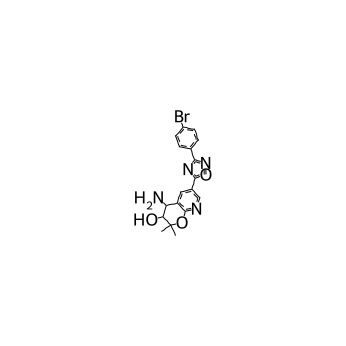 CC1(C)Oc2ncc(-c3nc(-c4ccc(Br)cc4)no3)cc2C(N)C1O